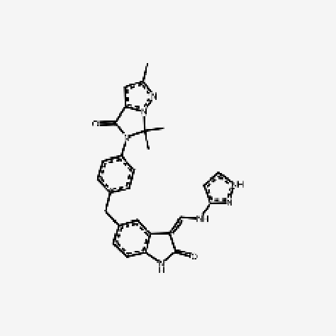 Cc1cc2n(n1)C(C)(C)N(c1ccc(Cc3ccc4c(c3)/C(=C/Nc3cc[nH]n3)C(=O)N4)cc1)C2=O